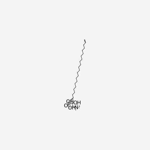 C=CCCCCCCCCCCCCCCCCCCC/C=C/C(O)(C[N+](C)(C)C)P(=O)(O)O